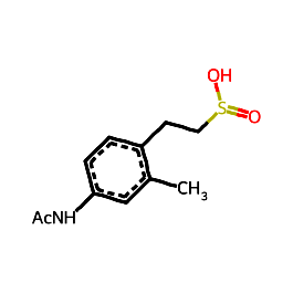 CC(=O)Nc1ccc(CCS(=O)O)c(C)c1